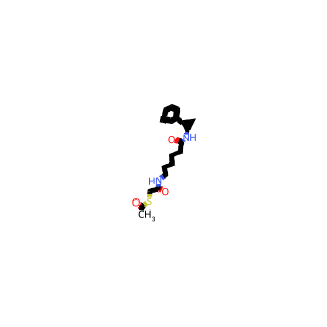 CC(=O)SCC(=O)NCCCCCC(=O)NC1CC1c1ccccc1